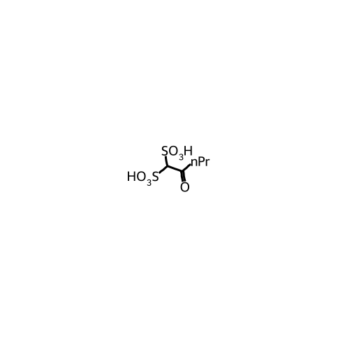 CCCC(=O)C(S(=O)(=O)O)S(=O)(=O)O